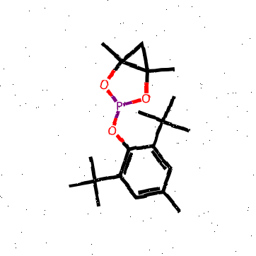 Cc1cc(C(C)(C)C)c(OP2OC3(C)CC3(C)O2)c(C(C)(C)C)c1